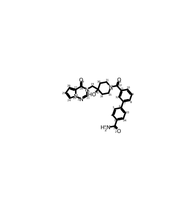 NC(=O)c1ccc(-c2cccc(C(=O)N3CCC(O)(Cn4cnn5cccc5c4=O)CC3)c2)cc1